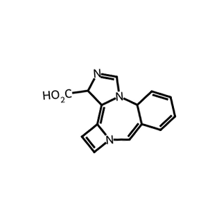 O=C(O)C1N=CN2C1=C1C=CN1C=C1C=CC=CC12